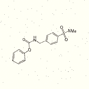 CNS(=O)(=O)c1ccc(CNC(=O)Oc2ccccc2)cc1